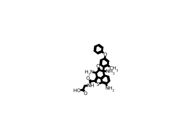 Cc1cc(Oc2ccccc2)ccc1C1(N)C(=O)C(N)c2c(C(=O)NCC(=O)O)sc3c(N)ccc1c23